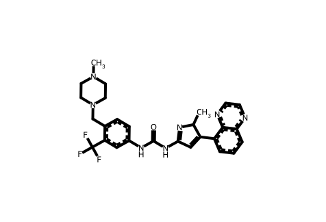 CC1N=C(NC(=O)Nc2ccc(CN3CCN(C)CC3)c(C(F)(F)F)c2)C=C1c1cccc2nccnc12